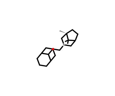 CC1(C)C2CC[C@]1(C)CN(CCC1C3CCCC1CCC3)C2